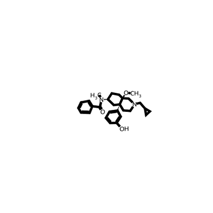 CO[C@]12CC[C@@H](N(C)C(=O)c3ccccc3)C[C@]1(c1cccc(O)c1)CCN(CC1CC1)C2